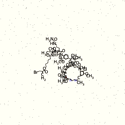 C=C(CBr)C(=O)OCCCCCC(=O)N[C@H](C(=O)N[C@@H](CCCNC(N)=O)C(=O)Nc1ccc(C(=O)N(C)[C@@H](C)C(=O)O[C@H]2CC(=O)N(C)c3cc(cc(OC)c3Cl)C/C(C)=C/C=C/[C@@H](OC)[C@@]3(O)C[C@H](OC(=O)N3)[C@@H](C)[C@@H]3O[C@@]23C)cc1S(C)(=O)=O)C(C)C